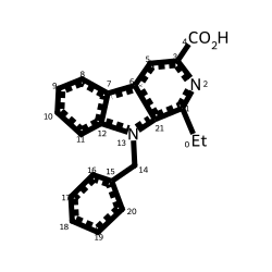 CCc1nc(C(=O)O)cc2c3ccccc3n(Cc3ccccc3)c12